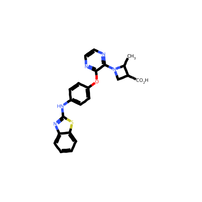 CC1C(C(=O)O)CN1c1nccnc1Oc1ccc(Nc2nc3ccccc3s2)cc1